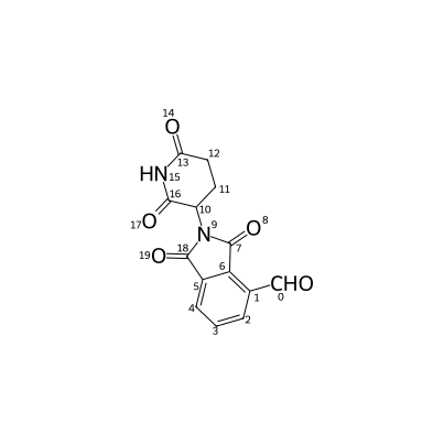 O=Cc1cccc2c1C(=O)N(C1CCC(=O)NC1=O)C2=O